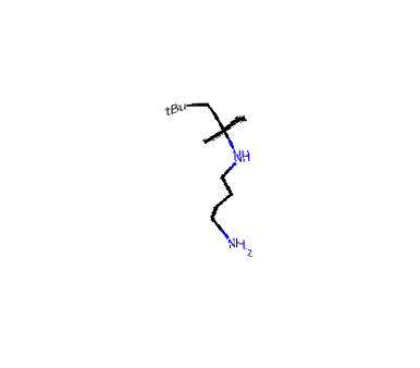 CC(C)(C)CC(C)(C)NCCCN